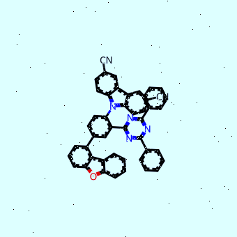 N#Cc1ccc2c(c1)c1cc(C#N)ccc1n2-c1ccc(-c2cccc3oc4ccccc4c23)cc1-c1nc(-c2ccccc2)nc(-c2ccccc2)n1